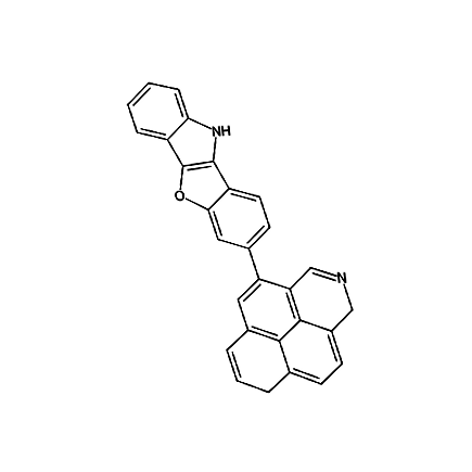 C1=Cc2cc(-c3ccc4c(c3)oc3c5ccccc5[nH]c43)c3c4c(ccc(c24)C1)CN=C3